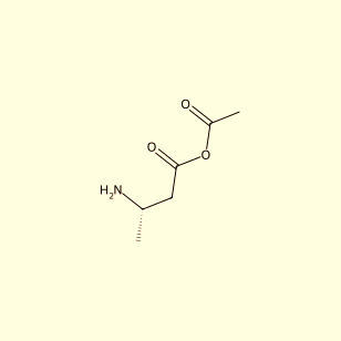 CC(=O)OC(=O)C[C@H](C)N